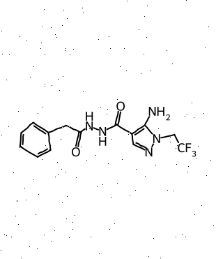 Nc1c(C(=O)NNC(=O)Cc2ccccc2)cnn1CC(F)(F)F